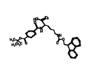 CC(C)(C)OC(=O)c1ccc(C(=O)NC(CCCCNC(=O)OCC2c3ccccc3-c3ccccc32)C(=O)O)cc1